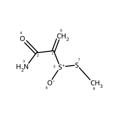 C=C(C(N)=O)[S+]([O-])SC